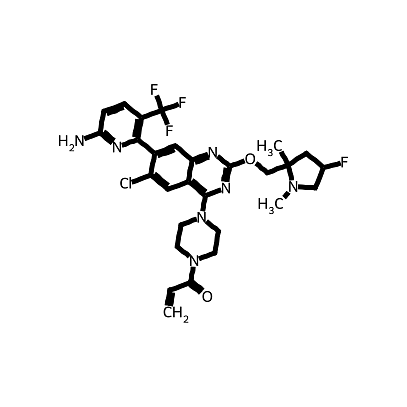 C=CC(=O)N1CCN(c2nc(OCC3(C)CC(F)CN3C)nc3cc(-c4nc(N)ccc4C(F)(F)F)c(Cl)cc23)CC1